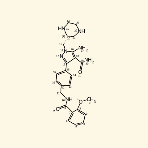 COc1ccccc1C(=O)NCc1ccc(-c2nn(C[C@H]3CNCCN3)c(N)c2C(N)=O)cc1